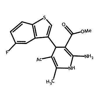 COC(=O)C1=C(N)NC(C)=C(C(C)=O)C1c1csc2ccc(F)cc12